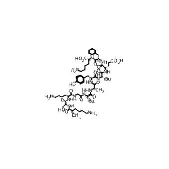 CCC(C)[C@H](NC(=O)CNC(=O)[C@H](CCCCN)NC(=O)[C@H](CO)NC(=O)[C@@H](C)CCCCN)C(=O)N[C@@H](C)C(=O)N[C@@H](Cc1ccc(O)cc1)C(=O)N[C@H](C(=O)N[C@@H](CCC(=O)O)C(=O)N[C@@H](Cc1ccccc1)C(=O)N[C@@H](CCCCN)C(=O)O)C(C)CC